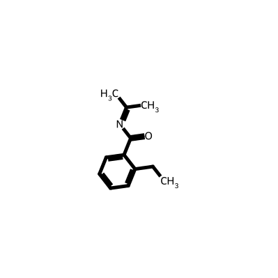 CCc1ccccc1C(=O)N=C(C)C